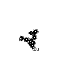 CC(C)(C)c1cc2ccc3c(-c4ccc(-c5cccnc5)cc4)cc(-c4cccc(-n5c6c(c7ccccc75)C=C=C6)c4)c4ccc(c1)c2c34